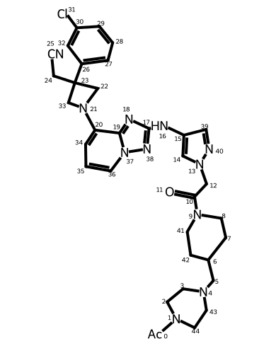 CC(=O)N1CCN(CC2CCN(C(=O)Cn3cc(Nc4nc5c(N6CC(CC#N)(c7cccc(Cl)c7)C6)cccn5n4)cn3)CC2)CC1